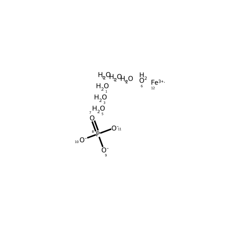 O.O.O.O.O.O.O.O=P([O-])([O-])[O-].[Fe+3]